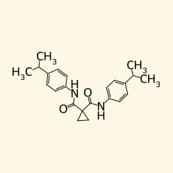 CC(C)c1ccc(NC(=O)C2(C(=O)Nc3ccc(C(C)C)cc3)CC2)cc1